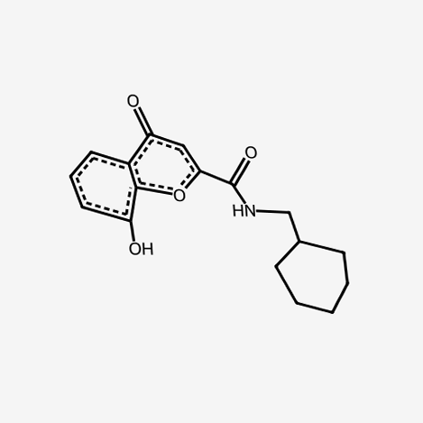 O=C(NCC1CCCCC1)c1cc(=O)c2cccc(O)c2o1